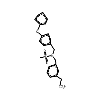 CS(=O)(=O)N(Cc1ccc(Oc2ccccc2)cc1)Cc1cccc(CC(=O)O)c1